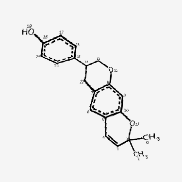 CC1(C)C=Cc2cc3c(cc2O1)OCC(c1ccc(O)cc1)C3